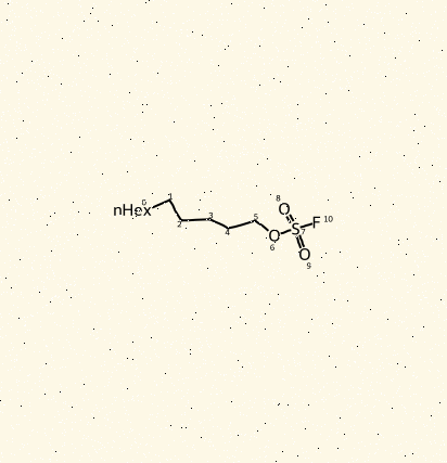 CCCCCCCCCCCOS(=O)(=O)F